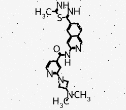 CC(=N)SC(=N)c1ccc2cnc(NC(=O)c3ccnc(N4CC(N(C)C)C4)c3)cc2c1